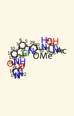 COc1nc(-c2cccc(-c3cccc(NC(=O)c4ccnn(C)c4=O)c3C)c2Cl)ccc1CNC1CCN(C(C)=O)CC1O